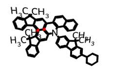 CC1(C)c2ccccc2-c2cc(N(c3ccc4c(c3)C(C)(C)c3cc(C5CCCCC5)ccc3-4)c3c(-c4ccc5c(c4)C(C)(C)c4ccccc4-5)ccc4ccccc34)ccc21